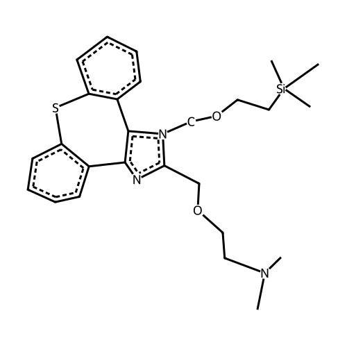 CN(C)CCOCc1nc2c(n1COCC[Si](C)(C)C)-c1ccccc1Sc1ccccc1-2